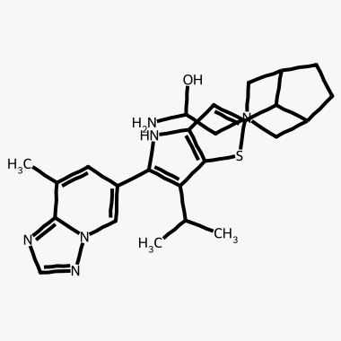 Cc1cc(-c2[nH]c3cc(C4C5CCC4CN(CC(N)O)C5)sc3c2C(C)C)cn2ncnc12